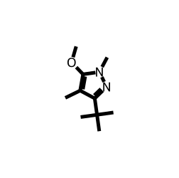 COc1c(C)c(C(C)(C)C)nn1C